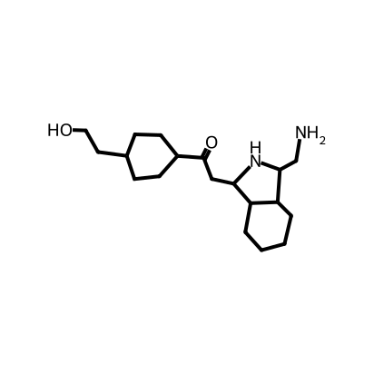 NCC1NC(CC(=O)C2CCC(CCO)CC2)C2CCCCC12